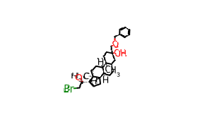 C[C@]12CC[C@H]3[C@@H](CCC4CC(O)(COCc5ccccc5)CC[C@@]43C)[C@@H]1CC[C@@H]2C(=O)CBr